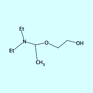 CCN(CC)C(C)OCCO